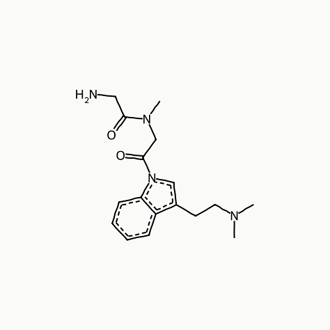 CN(C)CCc1cn(C(=O)CN(C)C(=O)CN)c2ccccc12